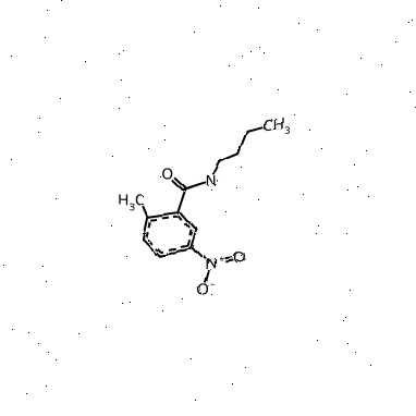 CCCC[N]C(=O)c1cc([N+](=O)[O-])ccc1C